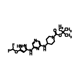 CC(C)(C)OC(=O)N1CCC(Nc2cncc(Nc3cc(OC(F)F)[nH]n3)n2)CC1